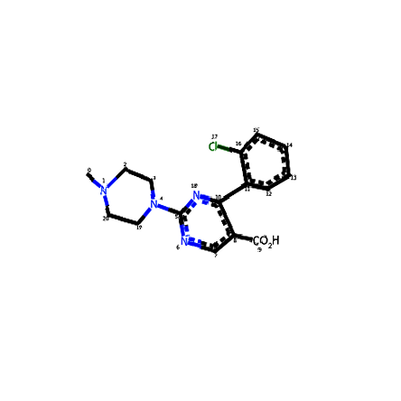 CN1CCN(c2ncc(C(=O)O)c(-c3ccccc3Cl)n2)CC1